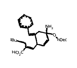 CCCCCCCCCCOC1(N)C=CC(C=C(CC(C)CC)C(=O)O)C(=Cc2ccccc2)C1